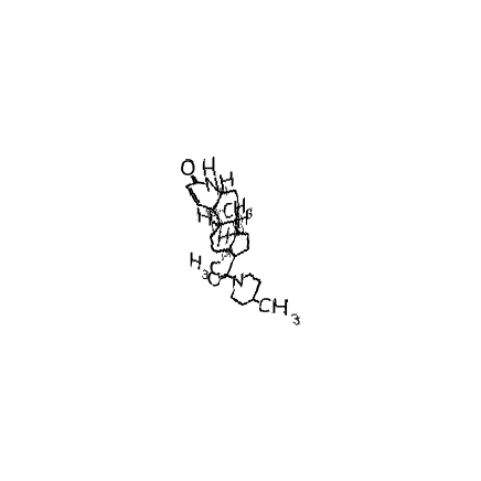 CC1CCN(C(=O)C2CC[C@H]3[C@@H]4CC[C@H]5NC(=O)C=C[C@]5(C)[C@H]4CC[C@]23C)CC1